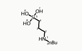 CCCCNCCC[Si](O)(O)O